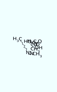 C/C(=C/C(=O)O)C(=O)O.CC(=O)[O-].CCCCCCCC[n+]1ccn(C)c1